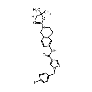 CC(C)(C)OC(=O)N1CCc2cc(NC(=O)c3cnn(Cc4ccc(F)cc4)c3)ccc2C1